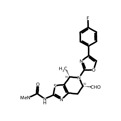 CNC(=O)Nc1nc2c(s1)[C@H](C)N(c1nc(-c3ccc(F)cc3)co1)[C@H](C=O)C2